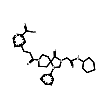 NC(=O)c1cc(C[CH]C(=O)N2CCC3(CC2)C(=O)N(CC(=O)NC2CCCCC2)CN3c2ccccc2)ccn1